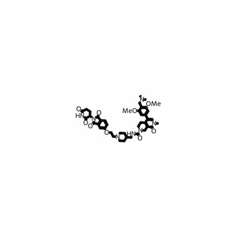 COc1cc(-c2cn(C)c(=O)c3c2CCN(C(=O)NCC2CCN(CCOc4ccc5c(c4)C(=O)N(C4CCC(=O)NC4=O)C5=O)CC2)C3)cc(OC)c1CN(C)C